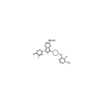 CCNc1cc2c(cn1)c(-c1ccc(=O)n(C)n1)nn2C1CCC(Oc2nccc(C(F)(F)F)c2F)CC1